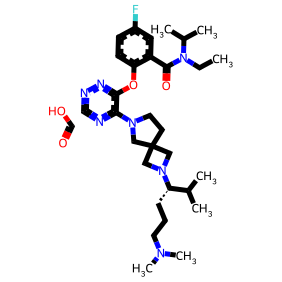 CCN(C(=O)c1cc(F)ccc1Oc1nncnc1N1CCC2(C1)CN([C@@H](CCCN(C)C)C(C)C)C2)C(C)C.O=CO